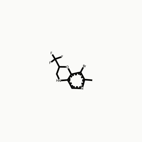 Cc1ncc2c(c1Br)OC(C(F)(F)F)CN2